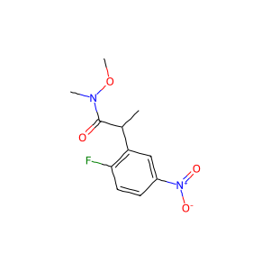 CON(C)C(=O)C(C)c1cc([N+](=O)[O-])ccc1F